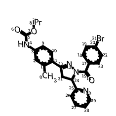 Cc1cc(NC(=O)OC(C)C)ccc1C1=NN(C(=O)c2ccc(Br)cc2)C(c2ccccn2)C1